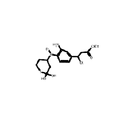 CCC(CC(=O)OC)c1ccc(N(CC)C2CCSC(O)(O)C2)c(N)c1